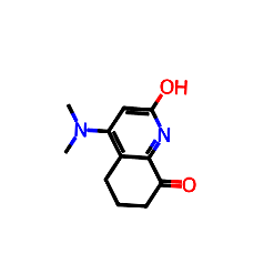 CN(C)c1cc(O)nc2c1CCCC2=O